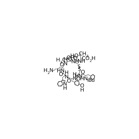 CCC(C)NC(Cc1ccccc1)C(=O)NC1CSSCC(C(=O)NC(C(=O)O)C(C)O)NC(=O)C(C(C)O)NC(=O)C(CCCCN)NC(=O)C(Cc2c[nH]c3ccccc23)NC(=O)C(Cc2ccc(O)cc2)NC1=O